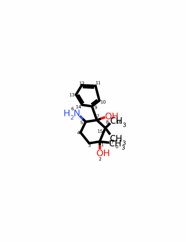 CC1(O)CCC(N)C(O)(c2ccccc2)C1(C)C